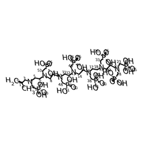 C=C(C)CN(CCN(CCN(CCN(CCN(CCN(CCN(CP(=O)(O)O)CP(=O)(O)O)CP(=O)(O)O)CP(=O)(O)O)CP(=O)(O)O)CP(=O)(O)O)CP(=O)(O)O)CP(=O)(O)O